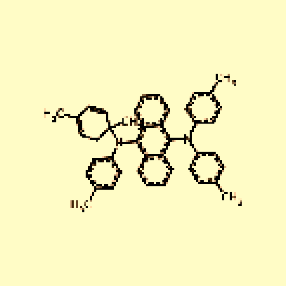 CC1=CCC(C)(N(c2ccc(C)cc2)c2c3ccccc3c(N(c3ccc(C)cc3)c3ccc(C)cc3)c3ccccc23)C=C1